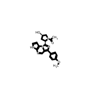 COc1ccc(-c2nc([C@H]3C[C@@H](O)CN3C(C)=O)n3c2cnc2[nH]ccc23)cc1